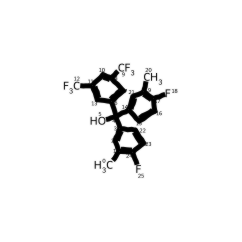 Cc1cc(C(O)(c2cc(C(F)(F)F)cc(C(F)(F)F)c2)c2ccc(F)c(C)c2)ccc1F